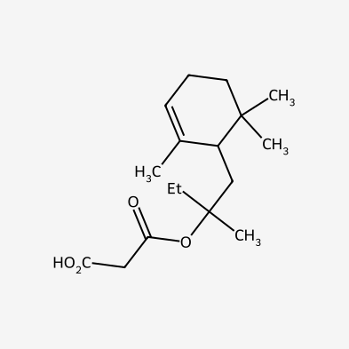 CCC(C)(CC1C(C)=CCCC1(C)C)OC(=O)CC(=O)O